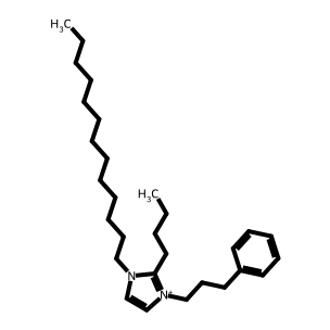 CCCCCCCCCCCCCn1cc[n+](CCCc2ccccc2)c1CCCC